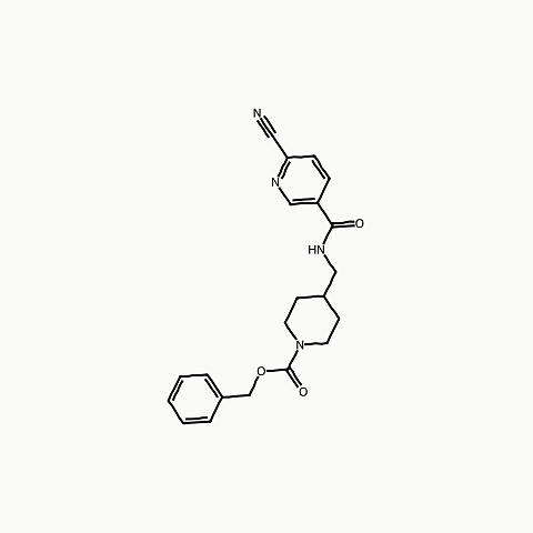 N#Cc1ccc(C(=O)NCC2CCN(C(=O)OCc3ccccc3)CC2)cn1